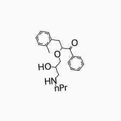 CCCNCC(O)COC(Cc1ccccc1C)C(=O)c1ccccc1